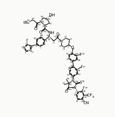 Cc1ncsc1-c1ccc([C@H](CC(=O)N2CCC(Oc3ccc(-c4ncc(N5C(=S)N(c6ccc(C#N)c(C(F)(F)F)c6F)C(=O)C5(C)C)cc4F)cc3F)CC2)NC(=O)[C@@H]2C[C@@H](O)CN2C(=O)CC(C)(C)C)cc1